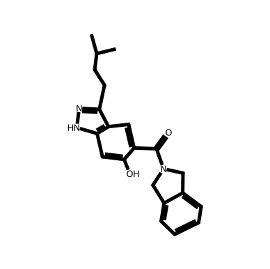 CC(C)CCc1n[nH]c2cc(O)c(C(=O)N3Cc4ccccc4C3)cc12